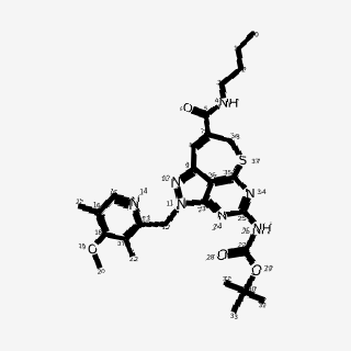 CCCCNC(=O)C1=Cc2nn(Cc3ncc(C)c(OC)c3C)c3nc(NC(=O)OC(C)(C)C)nc(c23)SC1